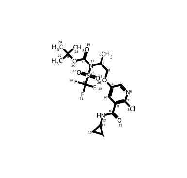 CC(COc1cnc(Cl)c(C(=O)NC2CC2)c1)N(C(=O)OC(C)(C)C)S(=O)(=O)C(F)(F)F